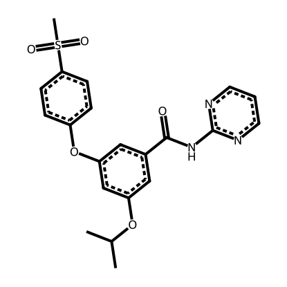 CC(C)Oc1cc(Oc2ccc(S(C)(=O)=O)cc2)cc(C(=O)Nc2ncccn2)c1